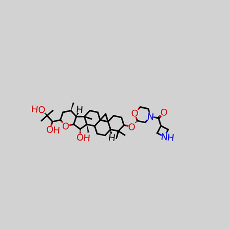 C[C@@H]1CC(C(O)C(C)(C)O)OC2[C@H]1C1(C)CCC34CC35CCC(O[C@H]3CN(C(=O)C6CNC6)CCO3)C(C)(C)[C@@H]5CCC4[C@]1(C)[C@H]2O